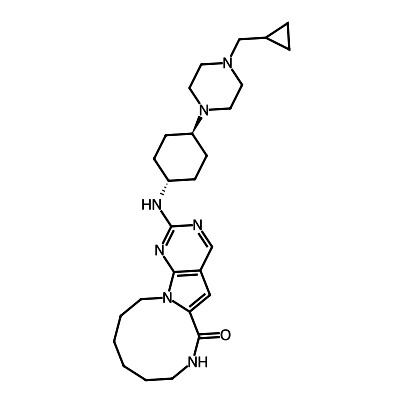 O=C1NCCCCCCn2c1cc1cnc(N[C@H]3CC[C@H](N4CCN(CC5CC5)CC4)CC3)nc12